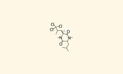 CC(C)CC1C(=O)N(C)/C(=C\C(C)C(Cl)(Cl)Cl)C(=O)N1C